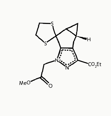 CCOC(=O)c1nn(CC(=O)OC)c2c1[C@H]1CC1C21SCCS1